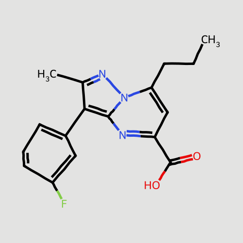 CCCc1cc(C(=O)O)nc2c(-c3cccc(F)c3)c(C)nn12